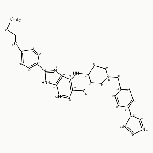 CC(=O)NCCOc1ccc(-c2nc3c(NC4CCN(Cc5ccc(-n6cncn6)cc5)CC4)c(Cl)cnc3[nH]2)cc1